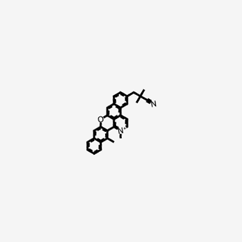 Cc1c2c(cc3ccccc13)Oc1cc3ccc(CC(C)(C)C#N)cc3c3cc[n+](C)c-2c13